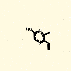 C=Cc1ncc(O)nc1C